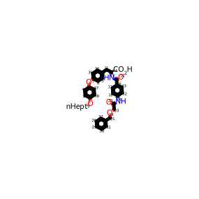 CCCCCCCOc1ccc(Oc2ccc(C[C@H](NC(=O)c3ccc(NC(=O)COCc4ccccc4)cc3)C(=O)O)cc2)cc1